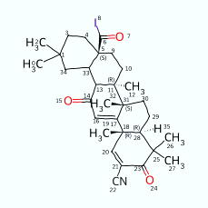 CC1(C)CC[C@]2(C(=O)I)CC[C@]3(C)C(C(=O)C=C4[C@@]5(C)C=C(C#N)C(=O)C(C)(C)[C@@H]5CC[C@]43C)C2C1